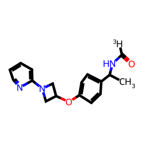 [3H]C(=O)NC(C)c1ccc(OC2CN(c3ccccn3)C2)cc1